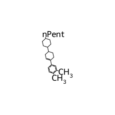 CCCCCC1CCC(C2CC=C(c3ccc(C)c(C)c3)CC2)CC1